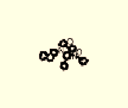 c1ccc(-c2cccc(N(c3ccc4c(ccc5ccccc54)c3)c3cccc4oc5cc6oc(-c7ccccc7)nc6cc5c34)c2)cc1